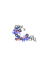 CCN(CC)[C@@H](C(=O)N1CCC[C@H]1c1ncc(-c2ccc3c(c2)O[C@@H](c2ccccc2)n2c-3cc3cc(-c4cnc([C@@H]5CCCN5C(=O)[C@@H](c5ccccc5)N(CC)CC)[nH]4)ccc32)[nH]1)c1ccccc1